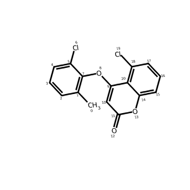 Cc1cccc(Cl)c1Oc1cc(=O)oc2cccc(Cl)c12